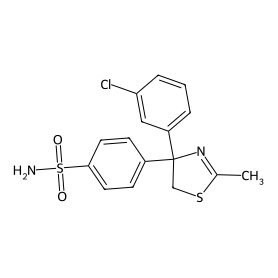 CC1=NC(c2ccc(S(N)(=O)=O)cc2)(c2cccc(Cl)c2)CS1